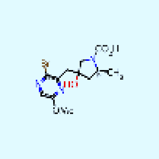 COc1cnc(Br)c(CC2(O)C[C@H](C)N(C(=O)O)C2)n1